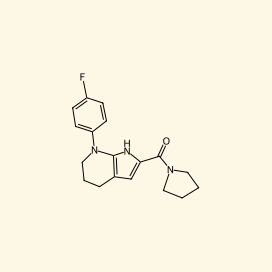 O=C(c1cc2c([nH]1)N(c1ccc(F)cc1)CCC2)N1CCCC1